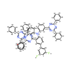 Fc1cc(F)cc(-c2ccc(-n3c4cc(-c5nc(-c6ccccc6)nc(-c6ccccc6)n5)ccc4c4ccc(-c5nc(-c6ccccc6)nc(-c6ccccc6)n5)cc43)c(-c3nc(-c4ccccc4)nc(-c4ccccc4)n3)c2)c1